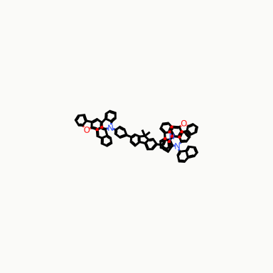 CC1(C)c2cc(-c3ccc(N(c4ccccc4-c4ccc5oc6ccccc6c5c4)c4cccc5ccccc45)cc3)ccc2-c2ccc(-c3ccc(N(c4ccccc4-n4c5ccccc5c5ccccc54)c4cccc5ccccc45)c(-c4ccc5oc6ccccc6c5c4)c3)cc21